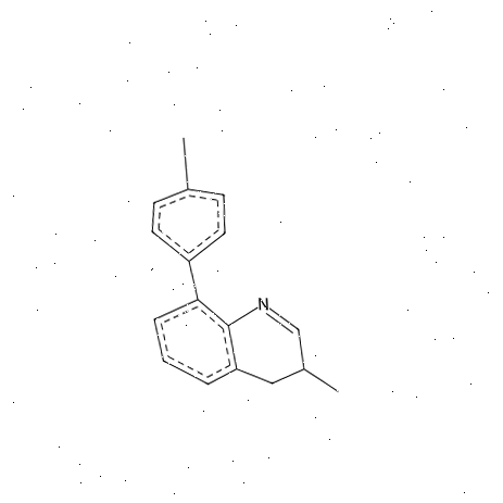 Cc1ccc(-c2cccc3c2N=CC(C)C3)cc1